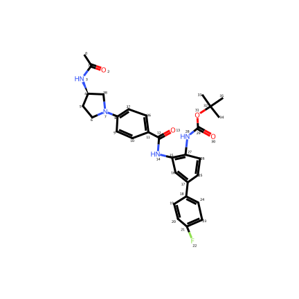 CC(=O)N[C@@H]1CCN(c2ccc(C(=O)Nc3cc(-c4ccc(F)cc4)ccc3NC(=O)OC(C)(C)C)cc2)C1